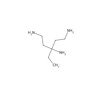 [CH2]CC(N)(CCN)CCN